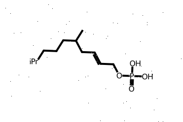 CC(C)CCCC(C)CC=CCOP(=O)(O)O